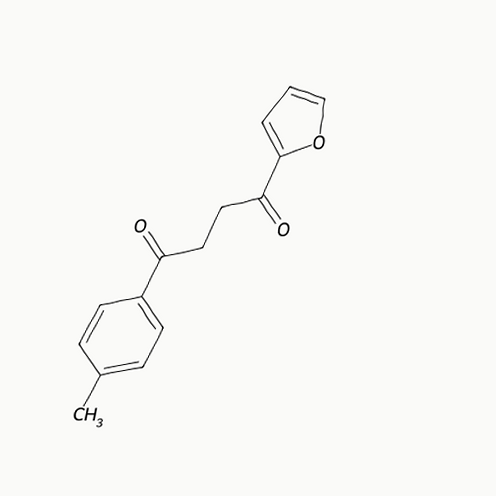 Cc1ccc(C(=O)CCC(=O)c2ccco2)cc1